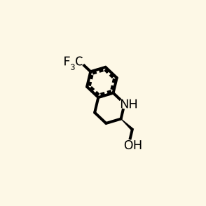 OC[C@H]1CCc2cc(C(F)(F)F)ccc2N1